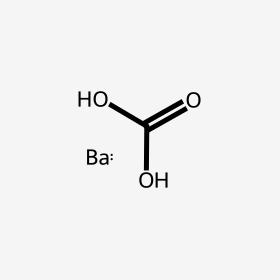 O=C(O)O.[Ba]